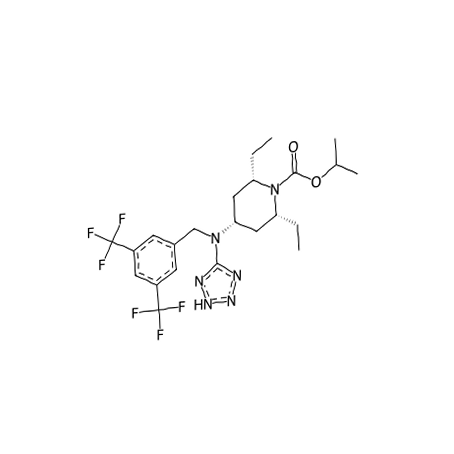 CC[C@@H]1C[C@H](N(Cc2cc(C(F)(F)F)cc(C(F)(F)F)c2)c2nn[nH]n2)C[C@H](CC)N1C(=O)OC(C)C